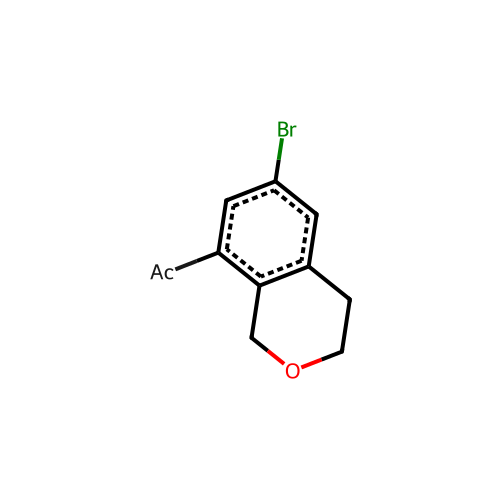 CC(=O)c1cc(Br)cc2c1COCC2